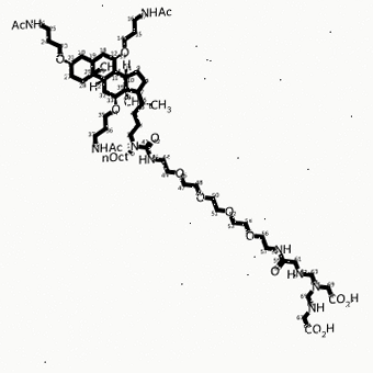 CCCCCCCCN(CCC[C@@H](C)C1CC[C@H]2C3[C@H](OCCCNC(C)=O)CC4C[C@H](OCCCNC(C)=O)CCC4(C)[C@H]3C[C@H](OCCCNC(C)=O)[C@@]12C)C(=O)NCCOCCOCCOCCOCCNC(=O)CNCN(CNCC(=O)O)CC(=O)O